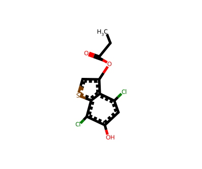 CCC(=O)Oc1csc2c(Cl)c(O)cc(Cl)c12